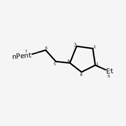 [CH2]CC1C[CH]C(CCCCCCC)C1